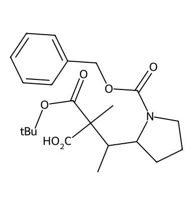 CC(C1CCCN1C(=O)OCc1ccccc1)C(C)(C(=O)O)C(=O)OC(C)(C)C